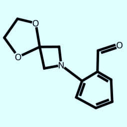 O=Cc1ccccc1N1CC2(C1)OCCO2